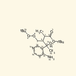 CC(C(=O)OC(C)(C)C)C(COOC(C)(C)C)C(O)(c1cnccc1N)C(F)(F)F